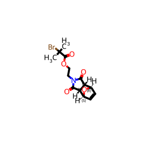 CC(C)(Br)C(=O)OCCN1C(=O)[C@@H]2[C@H](C1=O)[C@H]1C=C[C@@H]2O1